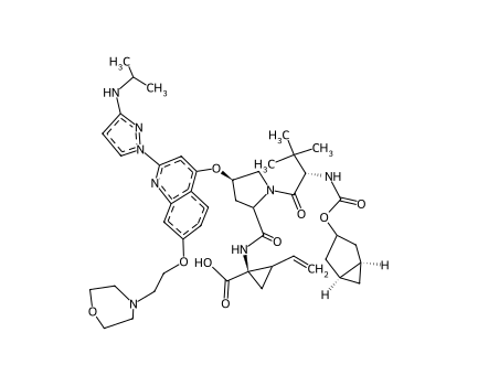 C=CC1C[C@]1(NC(=O)C1C[C@@H](Oc2cc(-n3ccc(NC(C)C)n3)nc3cc(OCCN4CCOCC4)ccc23)CN1C(=O)[C@@H](NC(=O)OC1C[C@@H]2C[C@@H]2C1)C(C)(C)C)C(=O)O